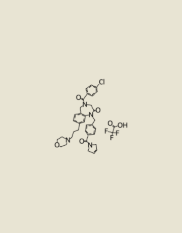 O=C(O)C(F)(F)F.O=C(c1ccc(CN2C(=O)CN(C(=O)c3ccc(Cl)cc3)Cc3ccc(CCCN4CCOCC4)cc32)cc1)N1CC=CC1